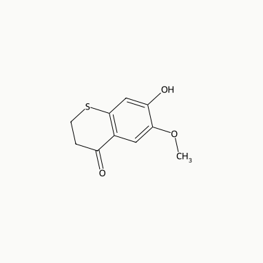 COc1cc2c(cc1O)SCCC2=O